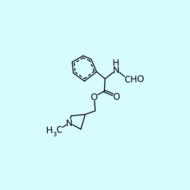 CN1CC(COC(=O)C(NC=O)c2ccccc2)C1